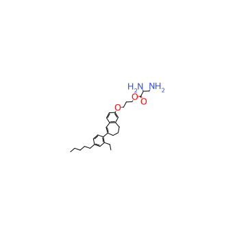 CCCCCc1ccc(C2=Cc3ccc(OCCCOC(=O)C(N)CN)cc3CCC2)c(CC)c1